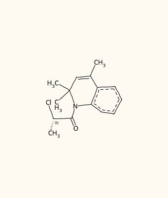 CC1=CC(C)(C)N(C(=O)[C@H](C)Cl)c2ccccc21